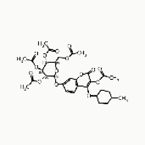 CC(=O)OC[C@H]1O[C@@H](Oc2ccc3c(OC4CCC(C)CC4)c(OC(C)=O)c(=O)oc3c2)[C@H](OC(C)=O)[C@@H](OC(C)=O)[C@@H]1OC(C)=O